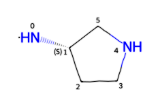 [NH][C@H]1CCNC1